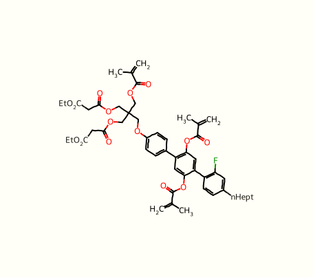 C=C(C)C(=O)OCC(COC(=O)CC(=O)OCC)(COC(=O)CC(=O)OCC)COc1ccc(-c2cc(OC(=O)C(=C)C)c(-c3ccc(CCCCCCC)cc3F)cc2OC(=O)C(=C)C)cc1